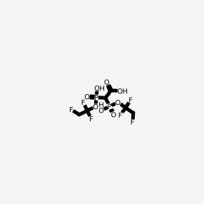 O=C(O)C(P(=O)(O)OC(F)(F)CF)P(=O)(O)OC(F)(F)CF